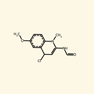 COc1ccc2c(c1)C(Cl)C=C(NC=O)N2C